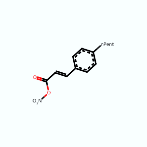 CCCCCc1ccc(C=CC(=O)O[N+](=O)[O-])cc1